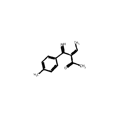 C/C=C(\C(=N)c1ccc(C)cc1)C(C)=O